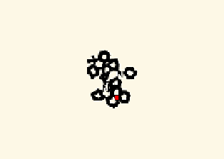 CC1(C)c2ccccc2C2(c3ccc(N(c4ccccc4)c4cccc5ccccc45)cc3-c3c(N(c4ccccc4)c4cccc(-c5ccccc5)c4)cccc32)c2ccccc21